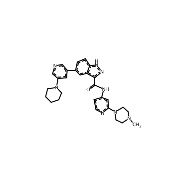 CN1CCN(c2cc(NC(=O)c3n[nH]c4ccc(-c5cncc(N6CCCCC6)c5)cc34)ccn2)CC1